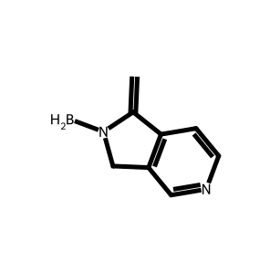 BN1Cc2cnccc2C1=C